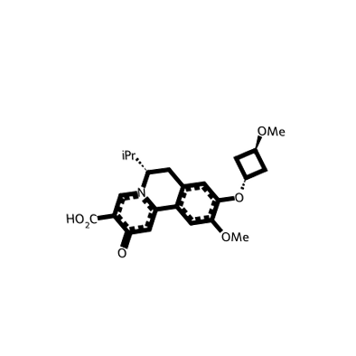 COc1cc2c(cc1O[C@H]1C[C@H](OC)C1)C[C@@H](C(C)C)n1cc(C(=O)O)c(=O)cc1-2